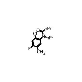 CCCC(=O)N(CCC)c1cc(C)c(F)cc1Cl